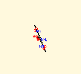 C=CCOC(=O)NCCCCC(N)C(=O)CC(CCCCNC(=O)OCC=C)C(=O)O